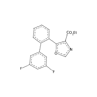 CCOC(=O)c1ncoc1-c1ccccc1-c1cc(F)cc(F)c1